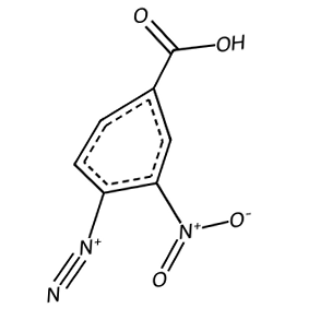 N#[N+]c1ccc(C(=O)O)cc1[N+](=O)[O-]